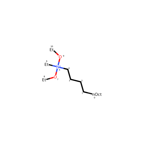 CCCCCCCCCCCC[N+](CC)(OCC)OCC